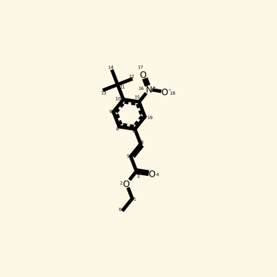 CCOC(=O)C=Cc1ccc(C(C)(C)C)c([N+](=O)[O-])c1